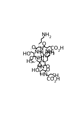 C[C@@H](O)[C@H](NC(=O)[C@H](Cc1c[nH]cn1)NC(=O)[C@H](CS)NC(=O)[C@@H](NC(=O)[C@H](CCCCN)NC(=O)[C@@H](N)CC(=O)O)[C@@H](C)O)C(=O)N[C@@H](CS)C(=O)O